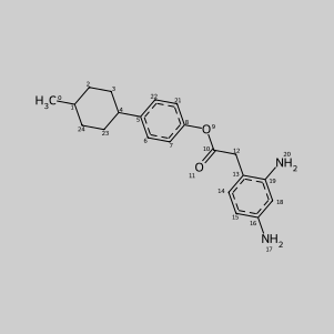 CC1CCC(c2ccc(OC(=O)Cc3ccc(N)cc3N)cc2)CC1